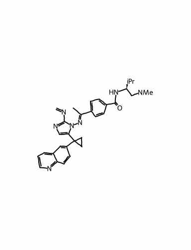 C=Nc1ncc(C2(c3ccc4ncccc4c3)CC2)n1/N=C(\C)c1ccc(C(=O)N[C@H](CNC)C(C)C)cc1